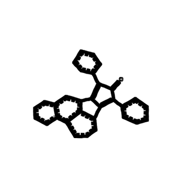 O=C1C(c2ccccc2)=C2C(=C1c1ccccc1)c1cc3ccccc3c3cccc2c13